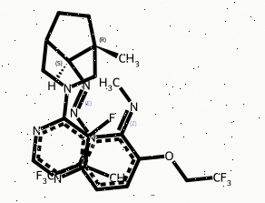 C/N=c1/c(OCC(F)(F)F)ccc(C(F)(F)F)n1/N=N/[C@H]1C2CC[C@]1(C)CN(c1ncnc(C)c1F)C2